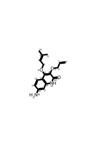 C=CCOc1c(OCC=C(C)C)c2ccc(N)cc2[nH]c1=O